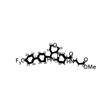 COC(=O)CCNC(=O)c1ccc(NC(c2ccc(-c3ccc(C(F)(F)F)cc3)cc2)C2CCOCC2)nc1